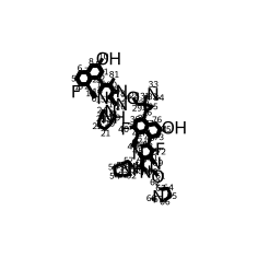 C#Cc1c(F)ccc2cc(O)cc(-c3cnc4c(N5CC6CCC(C5)N6)nc(OCC5(CN(C)C)CC5c5cc(F)c(C#C)c6c(-c7cnc8c(N9CC%10CCC(C9)N%10)nc(OC[C@@H]9CCCN9C)nc8c7F)cc(O)cc56)nc4c3C)c12